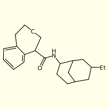 CCC1CC2CCC(NC(=O)C3CCCCc4ccccc43)C(C1)C2